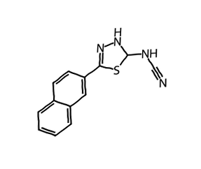 N#CNC1NN=C(c2ccc3ccccc3c2)S1